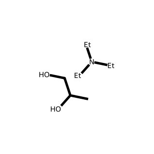 CC(O)CO.CCN(CC)CC